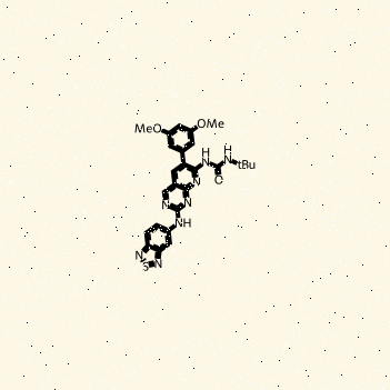 COc1cc(OC)cc(-c2cc3cnc(Nc4ccc5nsnc5c4)nc3nc2NC(=O)NC(C)(C)C)c1